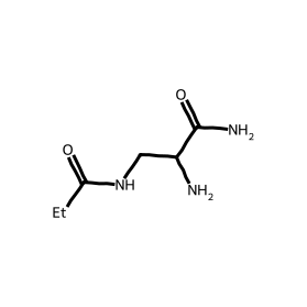 CCC(=O)NCC(N)C(N)=O